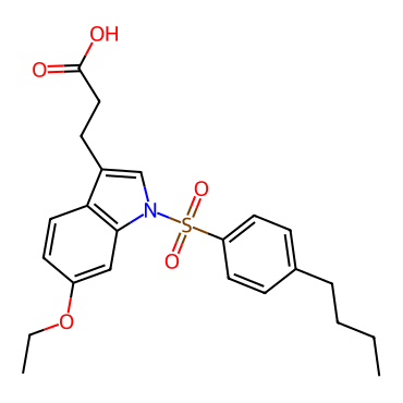 CCCCc1ccc(S(=O)(=O)n2cc(CCC(=O)O)c3ccc(OCC)cc32)cc1